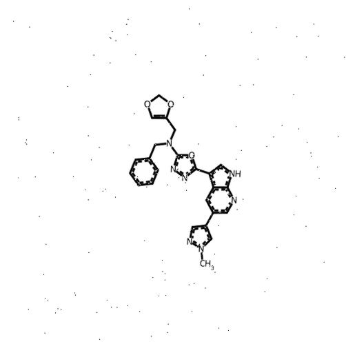 Cn1cc(-c2cnc3[nH]cc(-c4nnc(N(CC5=COCO5)Cc5ccccc5)o4)c3c2)cn1